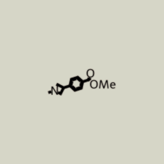 COC(=O)c1ccc(C2CN(C)C2)cc1